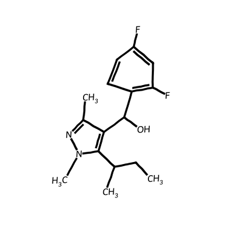 CCC(C)c1c(C(O)c2ccc(F)cc2F)c(C)nn1C